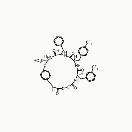 O=C1CCC(=O)N[C@H](Cc2cccc(C(F)(F)F)c2)C(=O)N[C@@H](Cc2ccc(C(F)(F)F)cc2)C(=O)N[C@H](Cc2ccccc2)C(=O)N[C@H](C(=O)O)Cc2ccc(cc2)N1